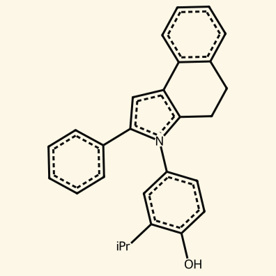 CC(C)c1cc(-n2c(-c3ccccc3)cc3c2CCc2ccccc2-3)ccc1O